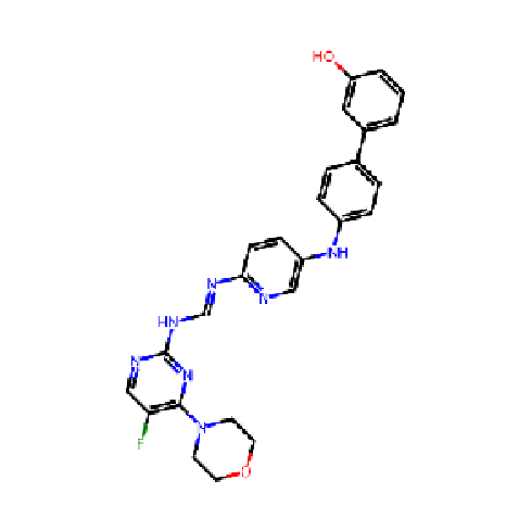 Oc1cccc(-c2ccc(Nc3ccc(/N=C/Nc4ncc(F)c(N5CCOCC5)n4)nc3)cc2)c1